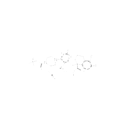 COC(=O)C1(Cc2nc(Cl)nc(N3CCN(C(=O)OC(C)(C)C)[C@@H](CC#N)C3)c2[N+](=O)[O-])CCCc2c1ccc(F)c2F